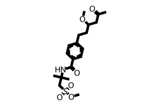 COC(CCc1ccc(C(=O)NC(C)(C)CS(=O)(=O)OC)cc1)CC(C)=O